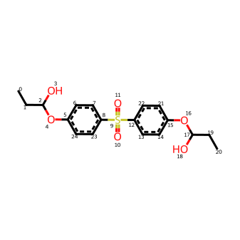 CCC(O)Oc1ccc(S(=O)(=O)c2ccc(OC(O)CC)cc2)cc1